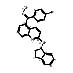 O/N=C(\c1ccc(F)cc1)c1cccc2nc(N[C@@H]3CCc4ccccc43)ccc12